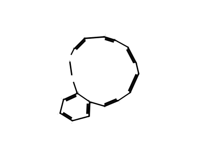 C1=CC=CC=Cc2ccccc2COC=CC=C1